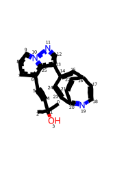 CC(C)(O)C#Cc1cccn2ncc(C3=C/C4C=CN=C(C=C4)/C=C\3)c12